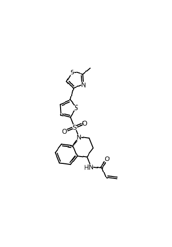 C=CC(=O)NC1CCN(S(=O)(=O)c2ccc(-c3csc(C)n3)s2)c2ccccc21